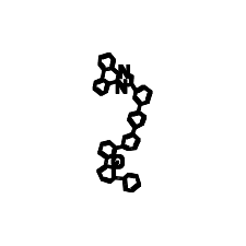 c1ccc(-c2cccc3c2oc2c(-c4cccc(-c5ccc(-c6cccc(-c7cnc8c9ccccc9c9ccccc9c8n7)c6)cc5)c4)cccc23)cc1